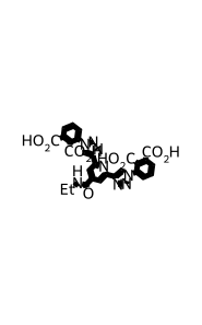 CCNC(=O)c1cc(-c2cn(-c3cccc(C(=O)O)c3C(=O)O)nn2)nc(-c2cn(-c3cccc(C(=O)O)c3C(=O)O)nn2)c1